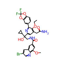 CCOc1c(CC(N)=O)cc([C@@](O)(CNC(=O)c2cc(OC)c3ncc(Br)cc3c2)C2CC2)nc1-c1ccc2c(c1)OC(F)(F)O2